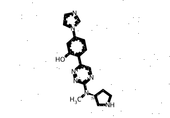 CN(c1ncc(-c2ccc(-n3ccnc3)cc2O)nn1)[C@H]1CCNC1